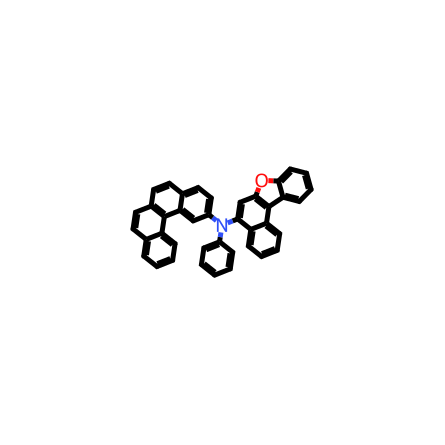 c1ccc(N(c2ccc3ccc4ccc5ccccc5c4c3c2)c2cc3oc4ccccc4c3c3ccccc23)cc1